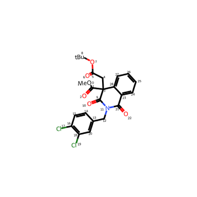 COC(=O)C1(CC(=O)OC(C)(C)C)C(=O)N(Cc2ccc(Cl)c(Cl)c2)C(=O)c2ccccc21